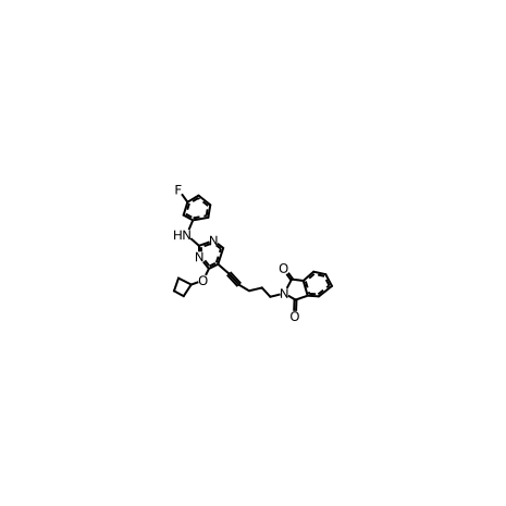 O=C1c2ccccc2C(=O)N1CCCC#Cc1cnc(Nc2cccc(F)c2)nc1OC1CCC1